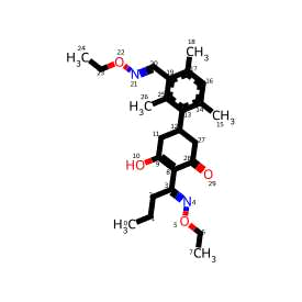 CCCC(=NOCC)C1=C(O)CC(c2c(C)cc(C)c(C=NOCC)c2C)CC1=O